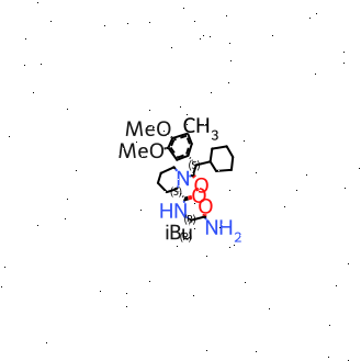 CC[C@@H](C)[C@@H](NC(=O)[C@@H]1CCCCN1C(=O)[C@H](c1cc(C)c(OC)c(OC)c1)C1CCCCC1)C(N)=O